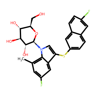 Cc1cc(F)cc2c(Sc3ccc4cc(F)ccc4c3)cn([C@@H]3O[C@H](CO)[C@@H](O)[C@H](O)[C@H]3O)c12